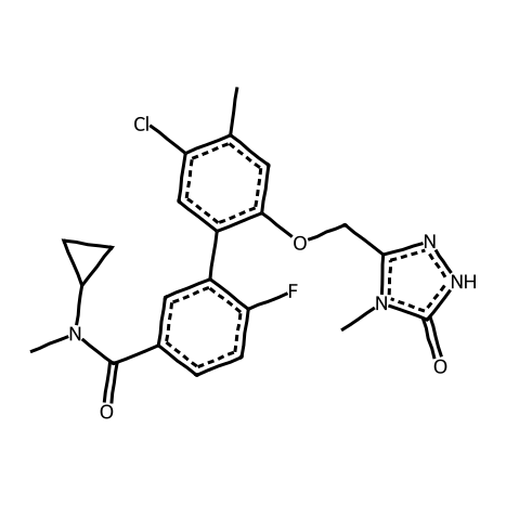 Cc1cc(OCc2n[nH]c(=O)n2C)c(-c2cc(C(=O)N(C)C3CC3)ccc2F)cc1Cl